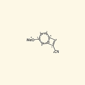 COc1ccc2c(c1)C(C#N)=C2